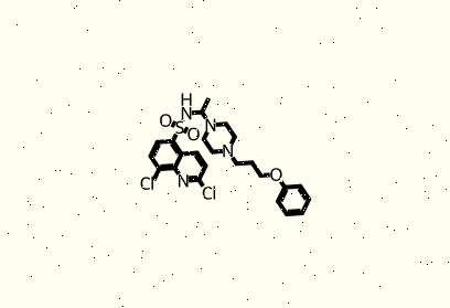 CC(NS(=O)(=O)c1ccc(Cl)c2nc(Cl)ccc12)N1CCN(CCCOc2ccccc2)CC1